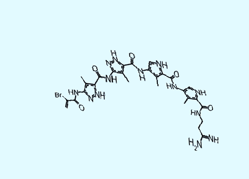 C=C(Br)C(=O)Nc1n[nH]c(C(=O)Nc2n[nH]c(C(=O)Nc3c[nH]c(C(=O)Nc4c[nH]c(C(=O)NCCC(=N)N)c4C)c3C)c2C)c1C